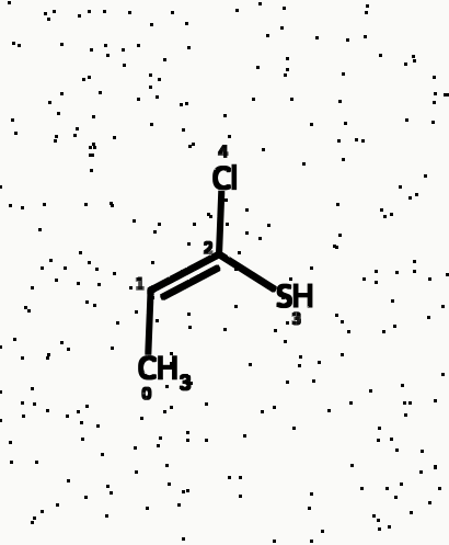 C/C=C(\S)Cl